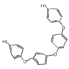 Sc1ccc(Oc2ccc(Oc3ccc(Oc4ccc(S)cc4)cc3)cc2)cc1